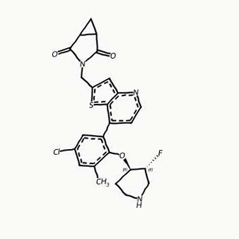 Cc1cc(Cl)cc(-c2ccnc3cc(CN4C(=O)C5CC5C4=O)sc23)c1O[C@@H]1CCNC[C@H]1F